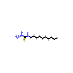 CCCCCCCCCCNC(=S)NN